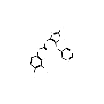 Cc1nc(OC(=O)Nc2ccc(F)c(C)c2)c(Nc2cncnc2)s1